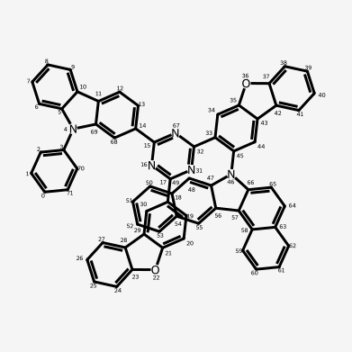 c1ccc(-n2c3ccccc3c3ccc(-c4nc(-c5ccc6oc7ccccc7c6c5)nc(-c5cc6oc7ccccc7c6cc5-n5c6cc7ccccc7cc6c6c7ccccc7ccc65)n4)cc32)cc1